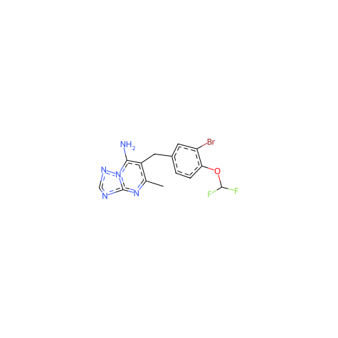 Cc1nc2ncnn2c(N)c1Cc1ccc(OC(F)F)c(Br)c1